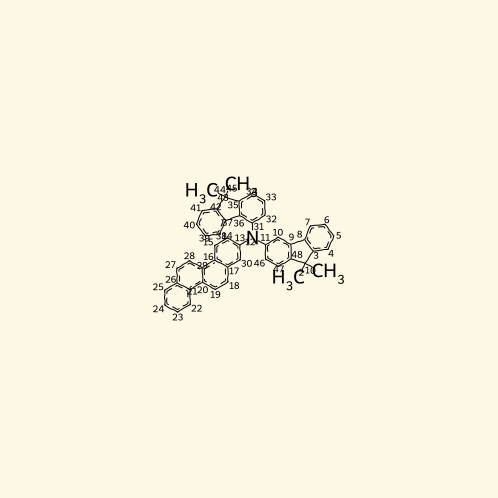 CC1(C)c2ccccc2-c2cc(N(c3ccc4c(ccc5c6ccccc6ccc45)c3)c3cccc4c3-c3ccccc3C4(C)C)ccc21